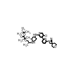 C[C@H](COC(C)(C)C(=O)OC(C)(C)C)NC1CCC(Nc2cc(-c3cccc(NCC4(C#N)CCOCC4)n3)c(Cl)cn2)CC1